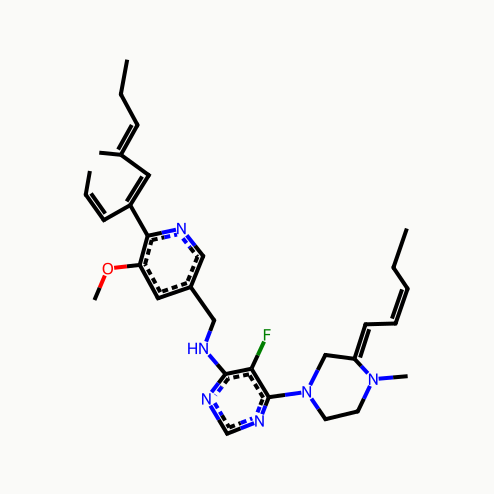 C\C=C/C(=C\C(C)=C\CC)c1ncc(CNc2ncnc(N3CCN(C)/C(=C\C=C/CC)C3)c2F)cc1OC